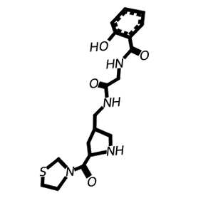 O=C(CNC(=O)c1ccccc1O)NCC1CNC(C(=O)N2CCSC2)C1